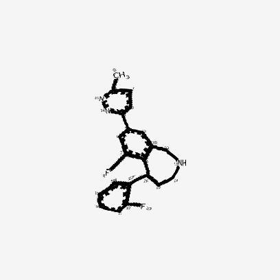 Cc1ccc(-c2cc(F)c3c(c2)CNCCC3c2ccccc2F)nn1